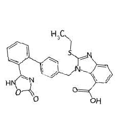 CCSc1nc2cccc(C(=O)O)c2n1Cc1ccc(-c2ccccc2-c2nc(=O)o[nH]2)cc1